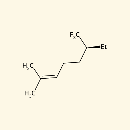 CC[C@@H](CCC=C(C)C)C(F)(F)F